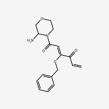 C=CC(=O)/C(=C/C(=O)N1CCOCC1N)OCc1ccccc1